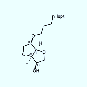 CCCCCCCCCCO[C@@H]1CO[C@H]2[C@@H]1OC[C@H]2O